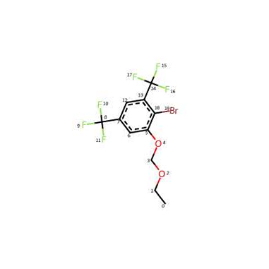 CCOCOc1cc(C(F)(F)F)cc(C(F)(F)F)c1Br